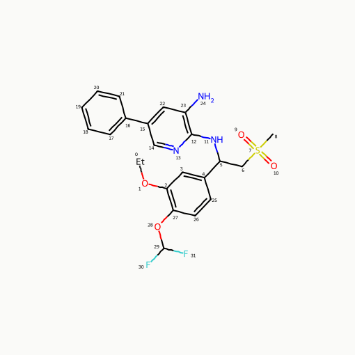 CCOc1cc(C(CS(C)(=O)=O)Nc2ncc(-c3ccccc3)cc2N)ccc1OC(F)F